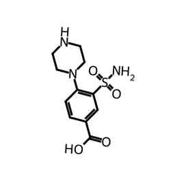 NS(=O)(=O)c1cc(C(=O)O)ccc1N1CCNCC1